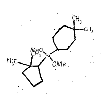 CO[Si](OC)(C1CCC(C)(C)CC1)C1CCCC1(C)C